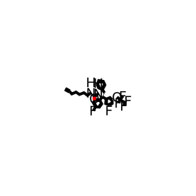 C#CCCCCCNC(=O)N[C@](Cc1ccccc1)(c1ccc(F)cc1)c1cc(F)cc(OC(F)(F)C(F)F)c1